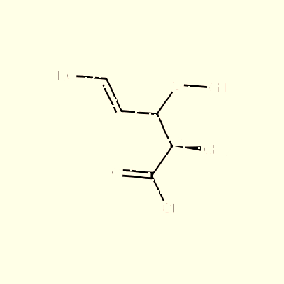 C/C=C/C(OC)[C@@H](C)C(=O)O